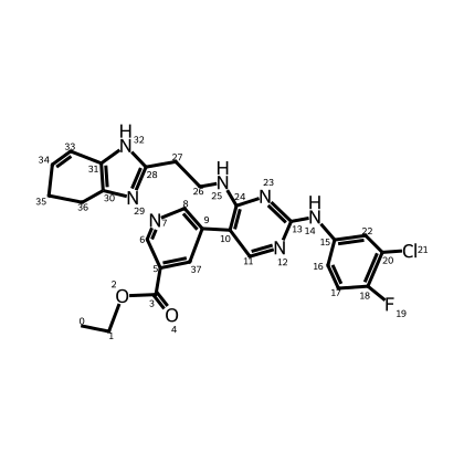 CCOC(=O)c1cncc(-c2cnc(Nc3ccc(F)c(Cl)c3)nc2NCCc2nc3c([nH]2)C=CCC3)c1